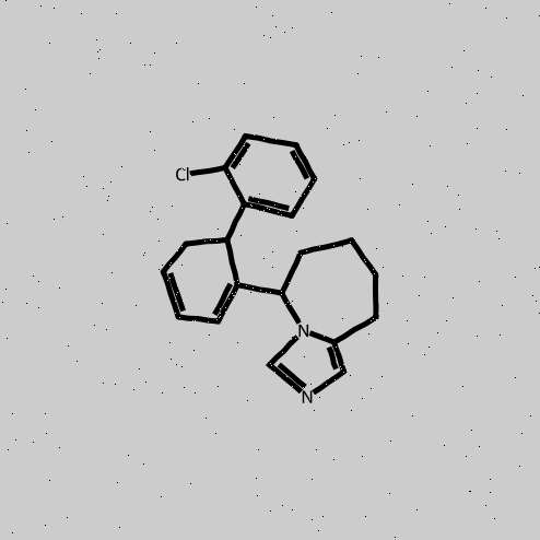 Clc1ccccc1C1CC=CC=C1C1CCCCc2cncn21